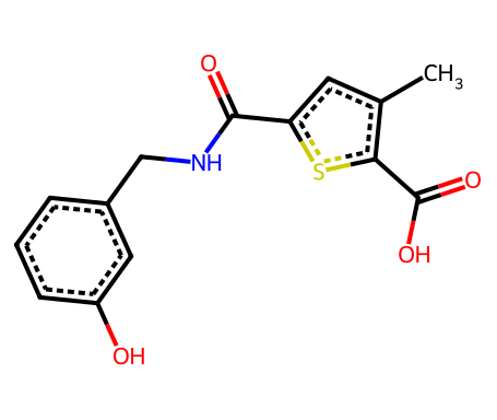 Cc1cc(C(=O)NCc2cccc(O)c2)sc1C(=O)O